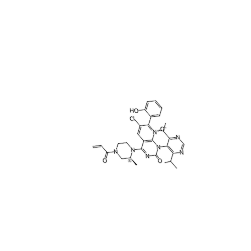 C=CC(=O)N1CCN(c2nc(=O)n(-c3c(C(C)C)ncnc3C(C)C)c3c2cc(Cl)c(-c2ccccc2O)[n+]3[O-])[C@@H](C)C1